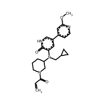 C=CC(=O)N1CCCC(N(CC2CC2)c2cc(-c3ccnc(OC)c3)c[nH]c2=O)C1